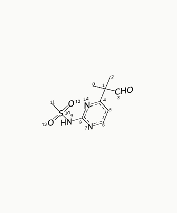 CC(C)(C=O)c1ccnc(NS(C)(=O)=O)n1